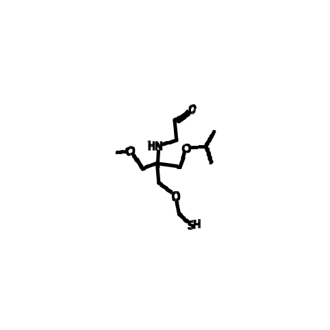 COCC(COCS)(COC(C)C)NCC=O